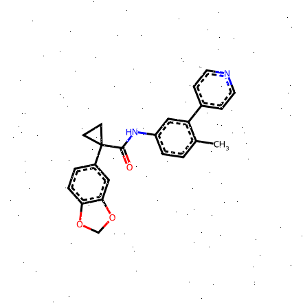 Cc1ccc(NC(=O)C2(c3ccc4c(c3)OCO4)CC2)cc1-c1ccncc1